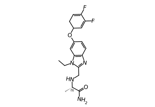 CCn1c(CN[C@@H](C)C(N)=O)nc2ccc(OC3C=C(F)C(F)=CC3)cc21